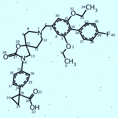 CCOc1cc(CN2CCC3(CC2)CN(c2ccc(C4(C(=O)O)CC4)cc2)C(=O)O3)cc(OCC)c1-c1ccc(F)cc1